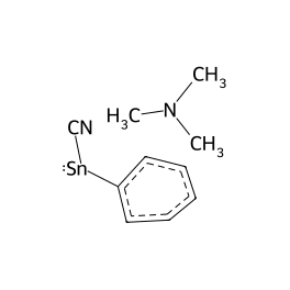 CN(C)C.N#[C][Sn][c]1ccccc1